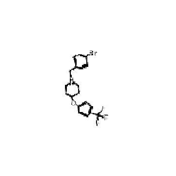 FC(F)(F)c1ccc(OC2CCN(Cc3ccc(Br)cc3)CC2)cc1